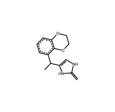 C=C1NC=C(C(C)c2cccc3c2OCCO3)N1